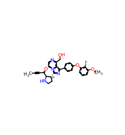 CC#CC(=O)C1NCC[C@H]1c1nc(-c2ccc(Oc3cccc(OC)c3F)cc2)c2c(CO)nccn12